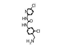 NCc1ccc(NC(=O)Nc2ccc(Cl)cn2)cc1Cl